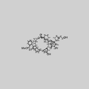 CCn1c(-c2cnccc2COC)c2c3cc(ccc31)-c1cc(O)cc(c1)C[C@H](NC(=O)C(C(C)C)N(C)C(=O)[C@H]1CCN(CCO)C1)C(=O)N1CCC[C@H](N1)C(=O)OCC(C)(C)C2